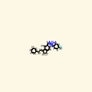 C[C@H]1C2=CNN(c3ccc(F)cc3)C2=CC2=C1[C@H](C[CH]c1ccccc1)CC2